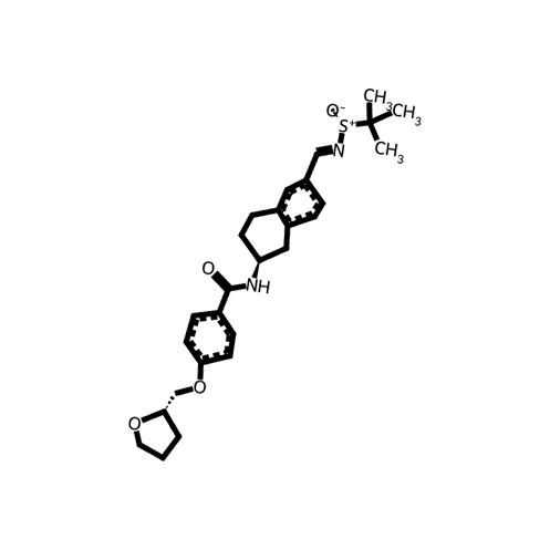 CC(C)(C)[S@@+]([O-])N=Cc1ccc2c(c1)CC[C@H](NC(=O)c1ccc(OC[C@@H]3CCCO3)cc1)C2